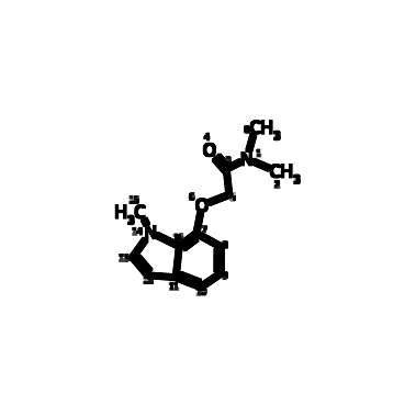 CN(C)C(=O)COc1cccc2ccn(C)c12